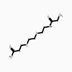 CCC(=O)NCCOCCOCCC(=O)O